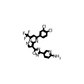 Nc1ccc(-c2noc(-c3cnn4c(C(F)(F)F)cc(-c5ccc(Cl)c(Cl)c5)nc34)n2)cn1